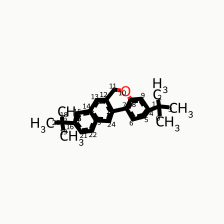 CC(C)(C)c1ccc2c(c1)OCc1cc3cc(C(C)(C)C)ccc3cc1-2